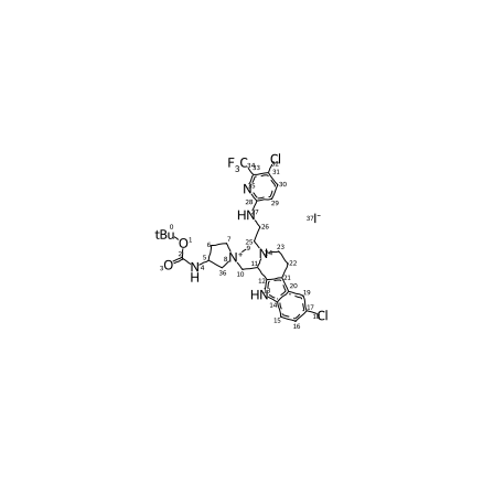 CC(C)(C)OC(=O)NC1CC[N+](C)(CC2c3[nH]c4ccc(Cl)cc4c3CCN2CCNc2ccc(Cl)c(C(F)(F)F)n2)C1.[I-]